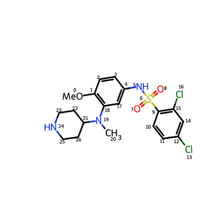 COc1ccc(NS(=O)(=O)c2ccc(Cl)cc2Cl)cc1N(C)C1CCNCC1